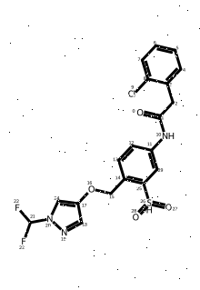 O=C(Cc1ccccc1Cl)Nc1ccc(COc2cnn(C(F)F)c2)c([SH](=O)=O)c1